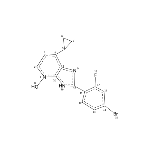 O[n+]1ccc(C2CC2)c2nc(-c3ccc(Br)cc3F)[nH]c21